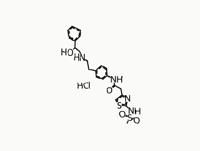 CS(=O)(=O)Nc1nc(CC(=O)Nc2ccc(CCNCC(O)c3ccccc3)cc2)cs1.Cl